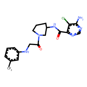 Nc1ncnc(C(=O)NC2CCCN(C(=O)CNc3cccc(C(F)(F)F)c3)C2)c1Cl